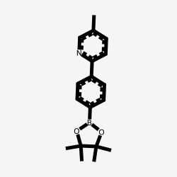 Cc1ccc(-c2ccc(B3OC(C)(C)C(C)(C)O3)cc2)nc1